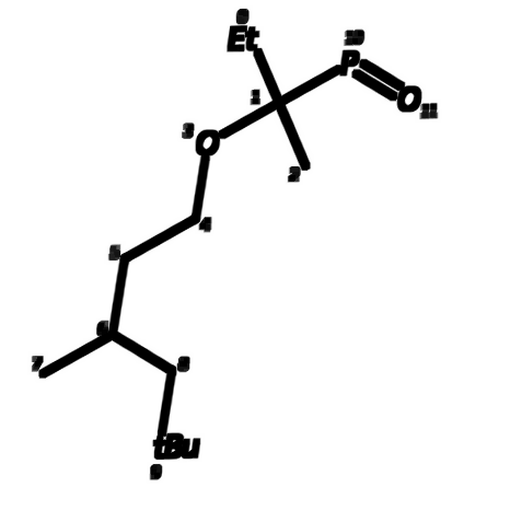 CCC(C)(OCCC(C)CC(C)(C)C)P=O